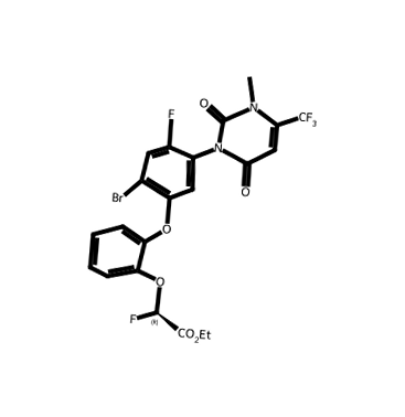 CCOC(=O)[C@@H](F)Oc1ccccc1Oc1cc(-n2c(=O)cc(C(F)(F)F)n(C)c2=O)c(F)cc1Br